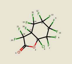 O=C1OC2(Cl)C(F)(F)C(F)(F)C(F)(F)C(F)(F)C2(F)C1(F)F